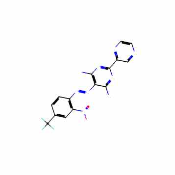 Nc1nc(-c2cnccn2)nc(N)c1/N=N/c1ccc(C(F)(F)F)cc1[N+](=O)[O-]